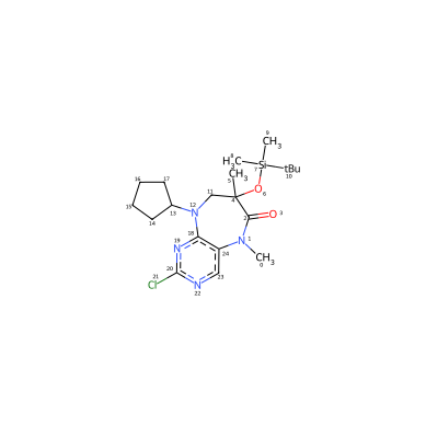 CN1C(=O)C(C)(O[Si](C)(C)C(C)(C)C)CN(C2CCCC2)c2nc(Cl)ncc21